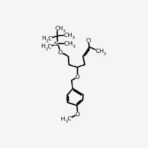 COc1ccc(COC(C/C=C(\C)Cl)CCO[Si](C)(C)C(C)(C)C)cc1